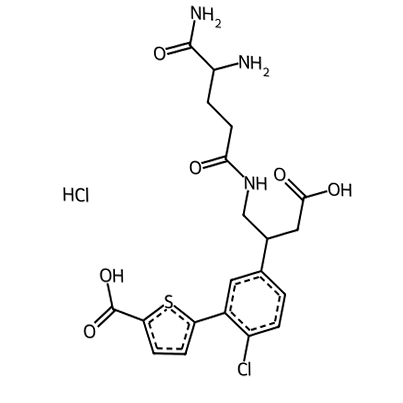 Cl.NC(=O)C(N)CCC(=O)NCC(CC(=O)O)c1ccc(Cl)c(-c2ccc(C(=O)O)s2)c1